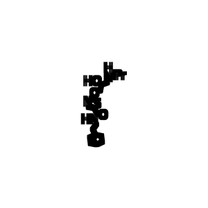 CC(C)NCC(O)COc1ncc(C(=O)NCCC23CCC(CC2)C3)s1